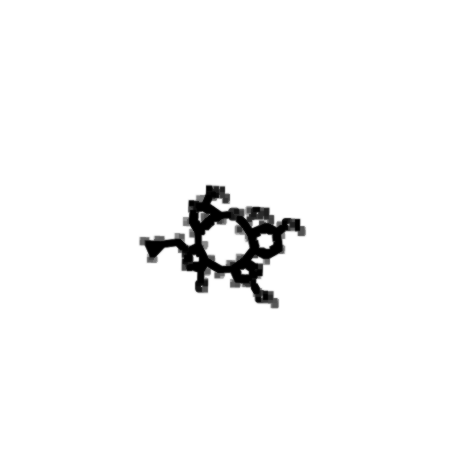 Cc1ccc2c(c1)[C@@H](C)Oc1cc(cnc1N)-c1c(c(Cl)nn1CC1CC1)Cc1cn(C)nc1-2